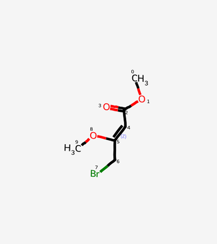 COC(=O)/C=C(/CBr)OC